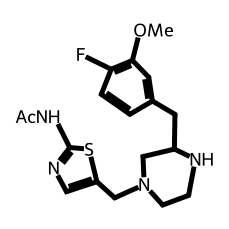 COc1cc(CC2CN(Cc3cnc(NC(C)=O)s3)CCN2)ccc1F